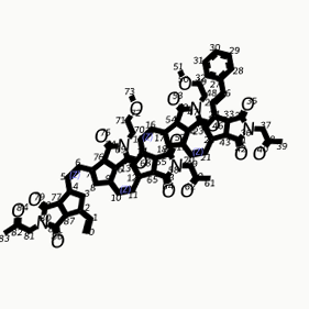 C=CC1CC(/C=C\C2CC(/C=C\C3CC(/C=C\C4CC(/C=C\C5CC(C=Cc6ccccc6)C6C(=O)N(CC(C)=O)C(=O)C56)C5C(=O)N(CCOC)C(=O)C45)C4C(=O)N(CC(C)=O)C(=O)C34)C3C(=O)N(CCOC)C(=O)C23)C2C(=O)N(CC(C)=O)C(=O)C12